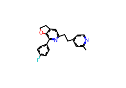 Cc1cc(CCc2cc3c(c(-c4ccc(F)cc4)n2)OCC3)ccn1